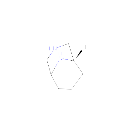 C1CC2CNC[C@H](C1)N2